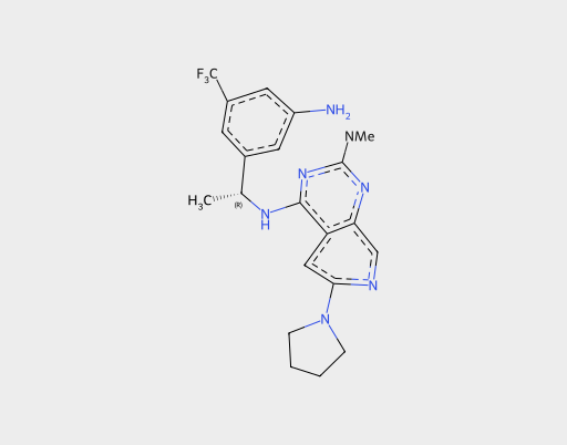 CNc1nc(N[C@H](C)c2cc(N)cc(C(F)(F)F)c2)c2cc(N3CCCC3)ncc2n1